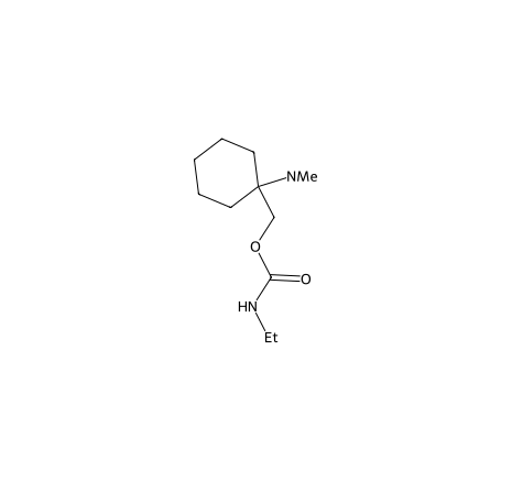 CCNC(=O)OCC1(NC)CCCCC1